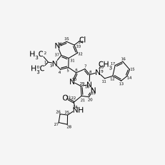 CC(C)n1cc(-c2cc(N(C)Cc3ccccc3)n3ncc(C(=O)NC4CCC4)c3n2)c2cc(Cl)cnc21